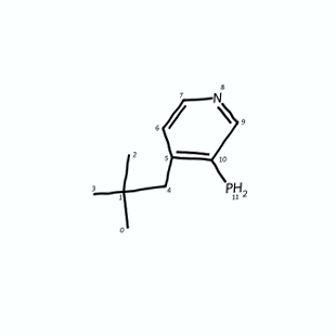 CC(C)(C)Cc1ccncc1P